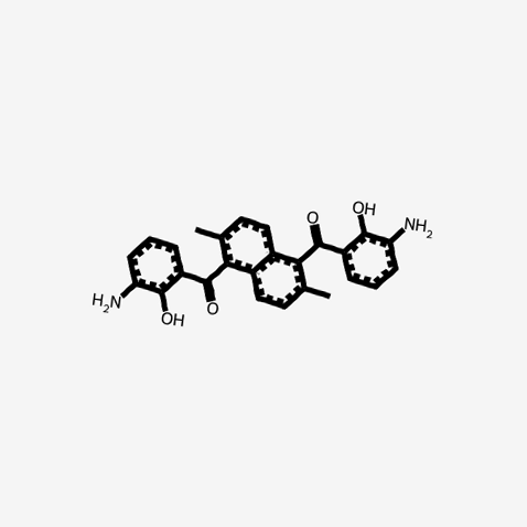 Cc1ccc2c(C(=O)c3cccc(N)c3O)c(C)ccc2c1C(=O)c1cccc(N)c1O